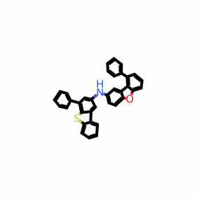 c1ccc(-c2cc(Nc3ccc4oc5cccc(-c6ccccc6)c5c4c3)cc3c2sc2ccccc23)cc1